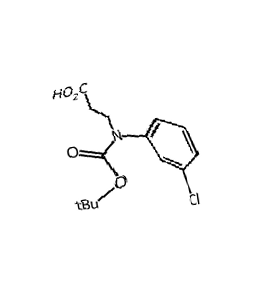 CC(C)(C)OC(=O)N(CCC(=O)O)c1cccc(Cl)c1